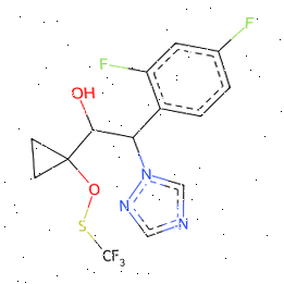 OC(C(c1ccc(F)cc1F)n1cncn1)C1(OSC(F)(F)F)CC1